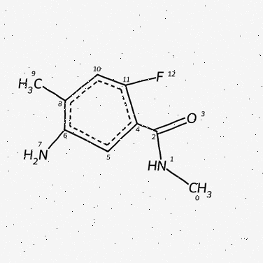 CNC(=O)c1cc(N)c(C)cc1F